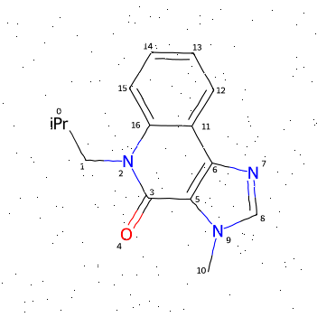 CC(C)Cn1c(=O)c2c(ncn2C)c2ccccc21